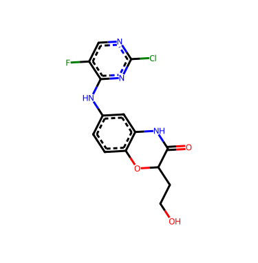 O=C1Nc2cc(Nc3nc(Cl)ncc3F)ccc2OC1CCO